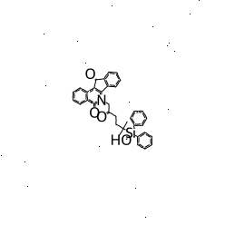 CC(C)(CCC(=O)Cn1c2c(c3ccccc3c1=O)C(=O)c1ccccc1-2)[Si](O)(c1ccccc1)c1ccccc1